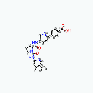 Cc1cc(NC(=O)N2CCC[C@@H]2C(=O)Nc2ccc(-c3ccc(C(=O)O)cc3)nc2)ncc1C(C)C